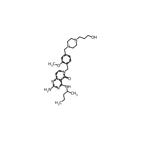 CCCC(C)Nc1nc(N)nc2ccn(Cc3ccc(CN4CCN(CCCO)CC4)cc3OC)c(=O)c12